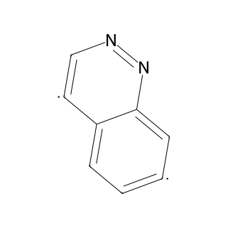 [c]1ccc2[c]cnnc2c1